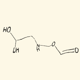 O=CONCC(O)O